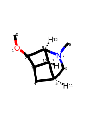 COC1C2C[C@@H]3CN(C)[C@H]1[C@H]23